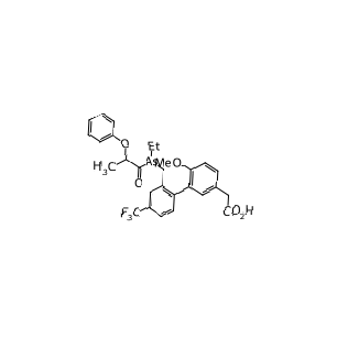 CC[As](Cc1cc(C(F)(F)F)ccc1-c1cc(CC(=O)O)ccc1OC)C(=O)C(C)Oc1ccccc1